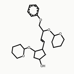 OC1[CH]C(C=CC(COc2ccccc2)OC2CCCCO2)C(OC2CCCCO2)C1